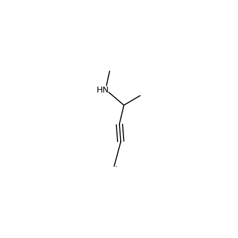 [CH2]C#CC(C)NC